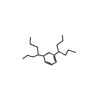 CCCC(CCC)C1=CC=CC(C(CCC)CCC)[CH]1